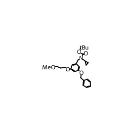 COCCCOc1cc(CN(C(=O)OC(C)(C)C)C2CC2)cc(OCc2ccccc2)c1